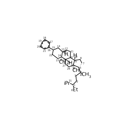 CC[C@H](CC[C@@H](C)[C@H]1CC[C@H]2[C@@H]3CC=C4CC(c5[c]cccc5)CC[C@]4(C)[C@H]3CC[C@]12C)C(C)C